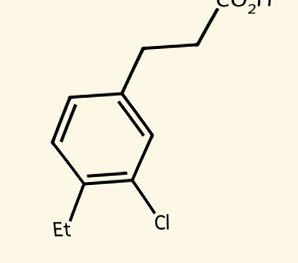 CCc1ccc(CCC(=O)O)cc1Cl